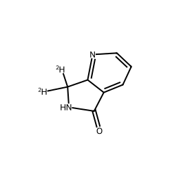 [2H]C1([2H])NC(=O)c2cccnc21